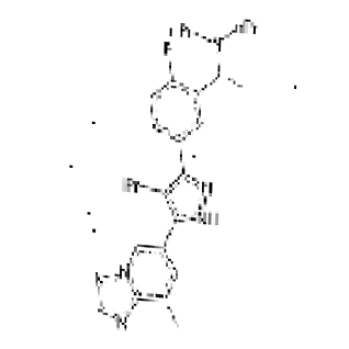 CCCN(CCC)C(C)c1cc(-c2n[nH]c(-c3cc(C)c4ncnn4c3)c2C(C)C)ccc1F